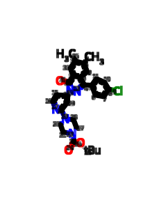 Cc1cc2c(-c3ccc(Cl)cc3)nn(-c3ccnc(N4CCN(C(=O)OC(C)(C)C)CC4)c3)c(=O)c2cc1C